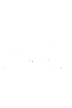 CCOc1ccncc1C1CN(C(=O)OC(C)(C)C)C1